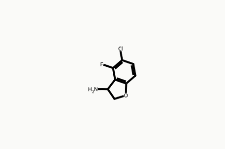 NC1COc2ccc(Cl)c(F)c21